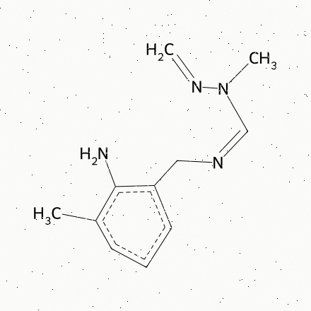 C=NN(C)/C=N\Cc1cccc(C)c1N